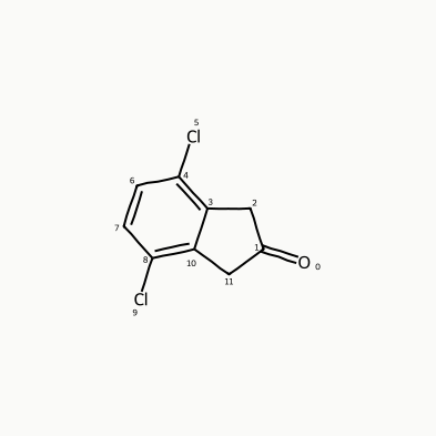 O=C1Cc2c(Cl)ccc(Cl)c2C1